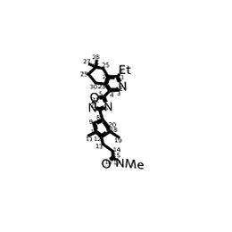 CCc1ncc(-c2nc(-c3cc(C)c(CCC(=O)NC)c(C)c3)no2)c2c1CC(C)(C)CC2